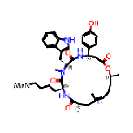 CNCCCC[C@@H]1NC(=O)[C@@H](C)C/C(C)=C/CC[C@H](C)OC(=O)C[C@H](c2ccc(O)cc2)NC(=O)[C@@H](Cc2c[nH]c3ccccc23)N(C)C1=O